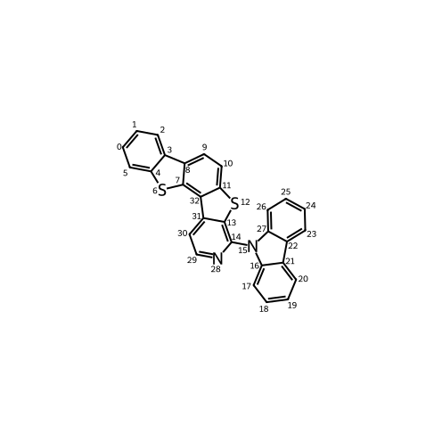 c1ccc2c(c1)sc1c2ccc2sc3c(-n4c5ccccc5c5ccccc54)nccc3c21